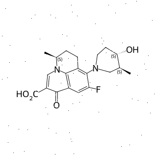 C[C@H]1CN(c2c(F)cc3c(=O)c(C(=O)O)cn4c3c2CC[C@@H]4C)CC[C@@H]1O